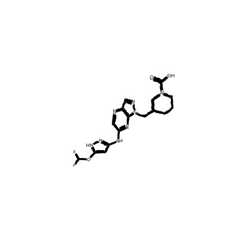 O=C(O)N1CCCC(Cn2ncc3ncc(Nc4cc(OC(F)F)[nH]n4)nc32)C1